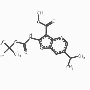 COC(=O)c1c(NC(=O)OC(C)(C)C)oc2cc(C(C)C)cnc12